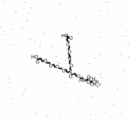 CC(C)(C)OC(=O)NCCOCCC(=O)N(CCOCCOCCOCCOCCC(=O)O)CCOCCOCCOCCOCCC(=O)O